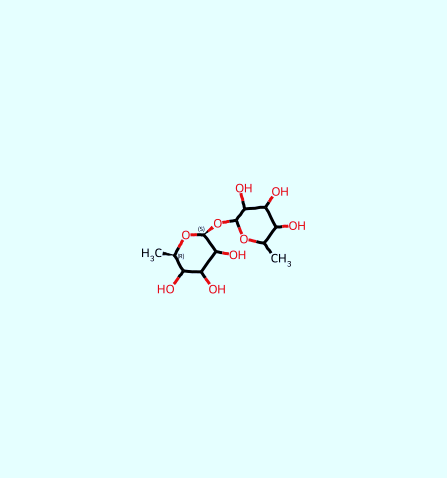 CC1OC(O[C@@H]2O[C@H](C)C(O)C(O)C2O)C(O)C(O)C1O